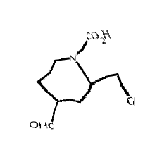 O=CC1CCN(C(=O)O)C(CCl)C1